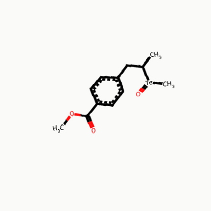 COC(=O)c1ccc(CC(C)[Te](C)=O)cc1